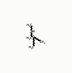 C=CCCCNCCCC(=C)OC(CCCCCC)CCCCCCC